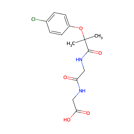 CC(C)(Oc1ccc(Cl)cc1)C(=O)NCC(=O)NCC(=O)O